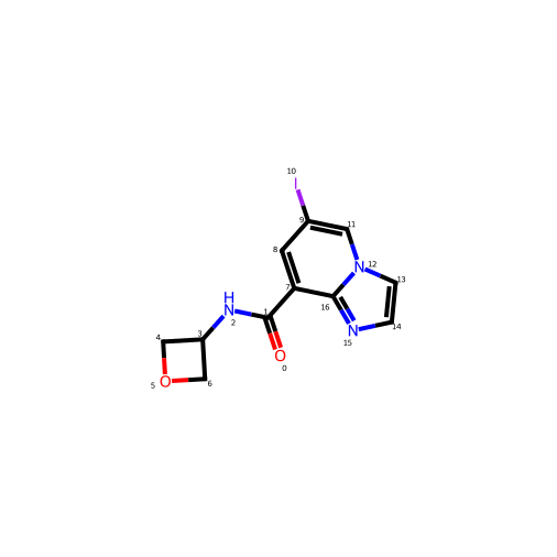 O=C(NC1COC1)c1cc(I)cn2ccnc12